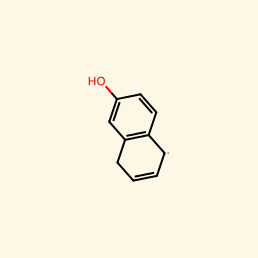 Oc1ccc2c(c1)CC=C[CH]2